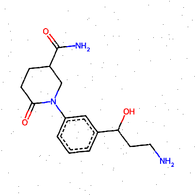 NCCC(O)c1cccc(N2CC(C(N)=O)CCC2=O)c1